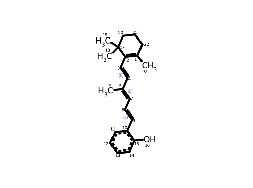 CC1=C(/C=C/C(C)=C/C=C/c2ccccc2O)C(C)(C)CCC1